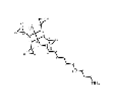 NCCCOCCCCCCOCC(CC1CO1)(CC1CO1)C(N)(CC1CO1)CC1CO1